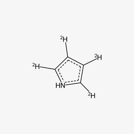 [2H]c1[nH]c([2H])c([2H])c1[2H]